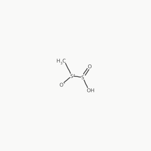 C[S+]([O-])S(=O)O